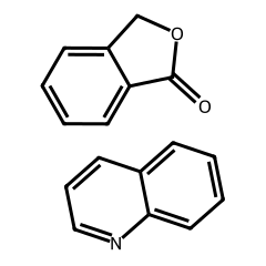 O=C1OCc2ccccc21.c1ccc2ncccc2c1